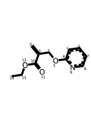 C=C(COc1ccccn1)C(=O)OCC